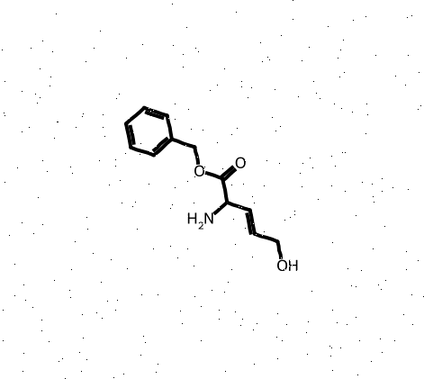 NC(C=CCO)C(=O)OCc1ccccc1